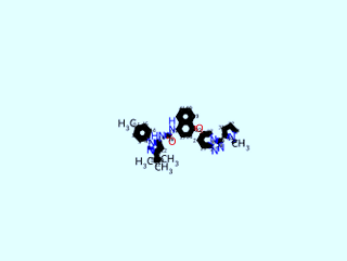 Cc1ccc(-n2nc(C(C)(C)C)cc2NC(=O)N[C@H]2CCC(Oc3ccc4nnc([C@@H]5CCCN5C)n4c3)c3ccccc32)cc1